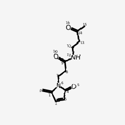 C=C1C=CC(=O)N1CCC(=O)NCCC(C)=O